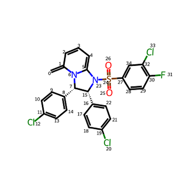 C=C1C=CC=C2N1[C@@H](c1ccc(Cl)cc1)[C@@H](c1ccc(Cl)cc1)N2S(=O)(=O)c1ccc(F)c(Cl)c1